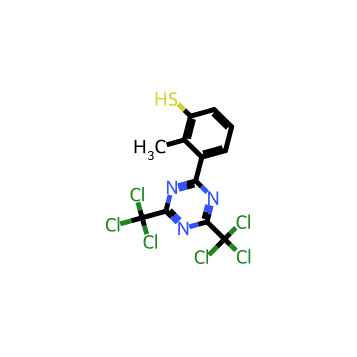 Cc1c(S)cccc1-c1nc(C(Cl)(Cl)Cl)nc(C(Cl)(Cl)Cl)n1